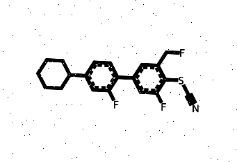 N#CSc1c(F)cc(-c2ccc(C3CCCCC3)cc2F)cc1CF